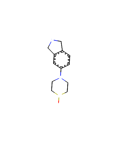 [O-][S+]1CCN(c2ccc3c(c2)CNC3)CC1